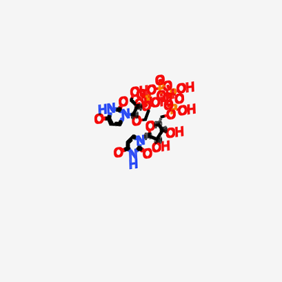 O=c1ccn([C@@H]2O[C@H](COP(=O)(O)OP(=O)(O)OP(=O)(O)OP(=O)(O)OCCO[C@H]([C@H](O)CO)n3ccc(=O)[nH]c3=O)[C@@H](O)[C@H]2O)c(=O)[nH]1